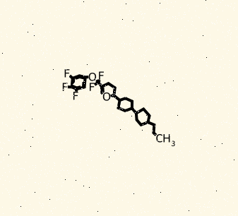 CCCC1CCC(C2CCC(C3CCC(C(F)(F)Oc4cc(F)c(F)c(F)c4)=CO3)CC2)CC1